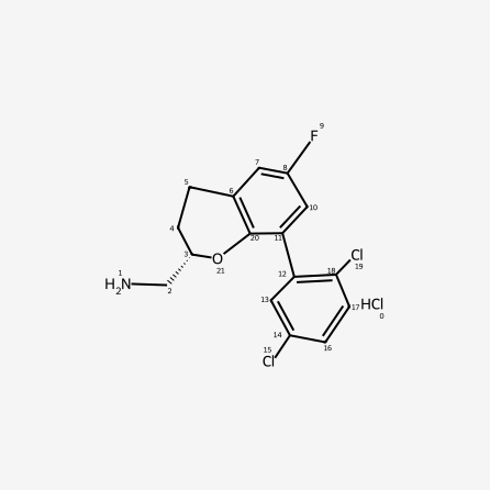 Cl.NC[C@@H]1CCc2cc(F)cc(-c3cc(Cl)ccc3Cl)c2O1